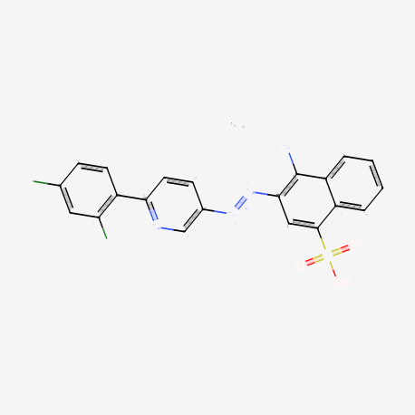 Nc1c(/N=N/c2ccc(-c3ccc(Cl)cc3Cl)nc2)cc(S(=O)(=O)O)c2ccccc12.[NaH]